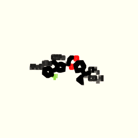 COc1ccc(F)c(-c2ccc([C@@H]3CCOc4ccc([C@H](C5CC5)[C@H](C)C(=O)O)cc4O3)cc2C(OC)C(C)(C)C)c1